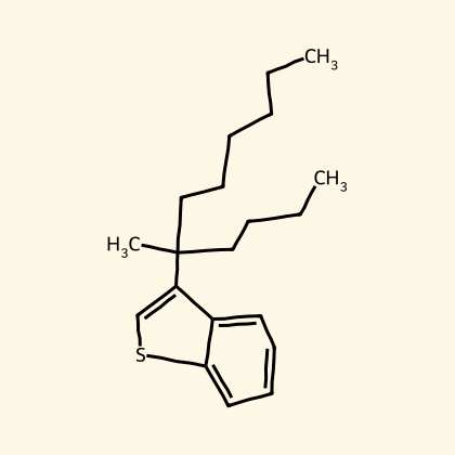 CCCCCCC(C)(CCCC)c1csc2ccccc12